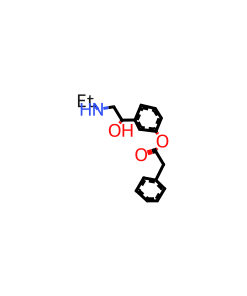 CCNCC(O)c1cccc(OC(=O)Cc2ccccc2)c1